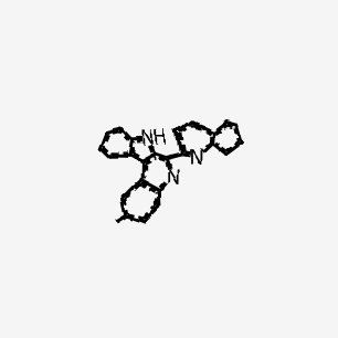 Cc1ccc2nc(-c3ccc4ccccc4n3)c3[nH]c4ccccc4c3c2c1